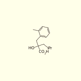 Cc1ccccc1CC(O)(CC(C)C)C(=O)O